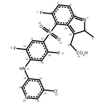 CC1N=c2ccc(F)c(S(=O)(=O)c3cc(F)c(Nc4cncc(Cl)c4)cc3F)c2=C1CC(=O)O